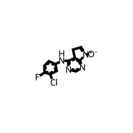 [O-][N+]1=CCc2c(Nc3ccc(F)c(Cl)c3)ncnc21